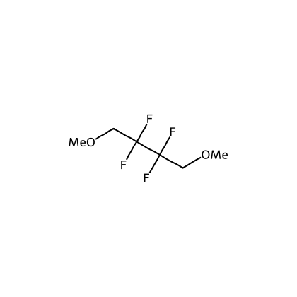 COCC(F)(F)C(F)(F)COC